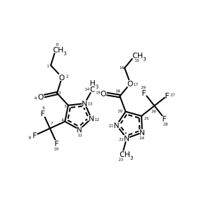 CCOC(=O)c1c(C(F)(F)F)nnn1C.CCOC(=O)c1nn(C)nc1C(F)(F)F